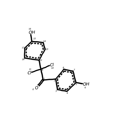 O=C(c1ccc(O)cc1)C(Cl)(Cl)c1ccc(O)cc1